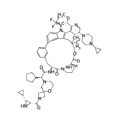 CO[C@@H](C)C1=C(c2c3c4cc(ccc4n2CC(F)(F)F)-c2cccc(c2)C[C@H](NC(=O)[C@H](C2CCCC2)N2CCOC4(CN(C(=O)[C@@H]5N[C@@H]5C5CC5)C4)C2)C(=O)N2CCC[C@H](N2)C(=O)OCC(C)(C)C3)CC(N2CCN(C3CC3)CC2)C=N1